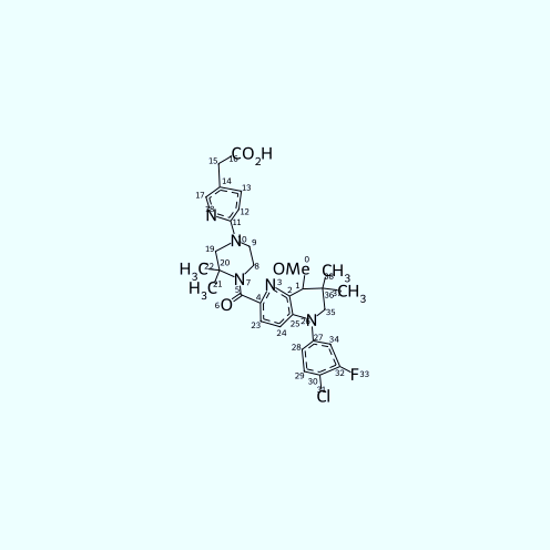 COC1c2nc(C(=O)N3CCN(c4ccc(CC(=O)O)cn4)CC3(C)C)ccc2N(c2ccc(Cl)c(F)c2)CC1(C)C